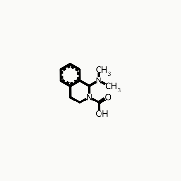 CN(C)C1c2ccccc2CCN1C(=O)O